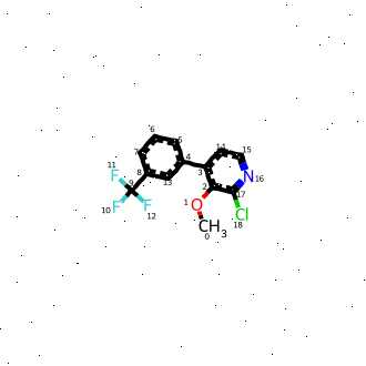 COc1c(-c2cccc(C(F)(F)F)c2)ccnc1Cl